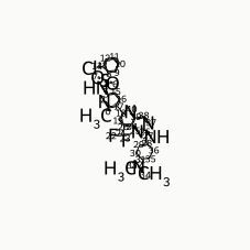 Cc1nc(NS(=O)(=O)c2cc#ccc2Cl)ccc1-c1cc(C(F)F)c2nc(N[C@H]3CC[C@H](N(C)C)CC3)ncc2n1